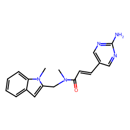 CN(Cc1cc2ccccc2n1C)C(=O)/C=C/c1cnc(N)nc1